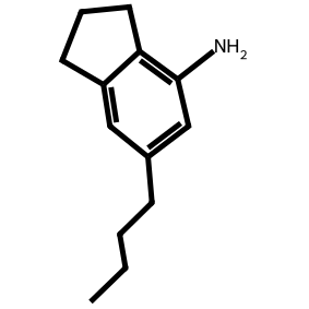 CCCCc1cc(N)c2c(c1)CCC2